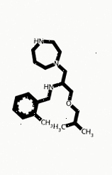 Cc1ccccc1CNC(COCC(C)C)CN1CCCNCC1